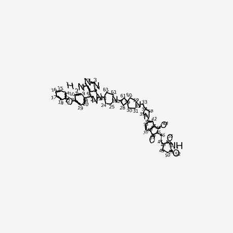 Nc1ncnc2c1c(-c1ccc(Oc3ccccc3)cc1)nn2C1CCN(C2CC3(CCN(CC4CN(c5ccc6c(c5)C(=O)C(CCC5CCC(=O)NC5=O)C6=O)C4)CC3)C2)CC1